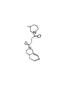 CC1CCCN(C(=O)CCC(=O)N2CCC3CCCC=C3C2)C1